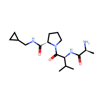 CC(C)[C@H](NC(=O)[C@H](C)N)C(=O)N1CCC[C@H]1C(=O)NCC1CC1